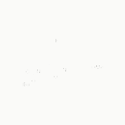 COc1ccc(C(C)N2CCC(C3(c4ccc(F)cc4)CCN(C(=O)OC(C)(C)C)CC3)C2=O)cc1